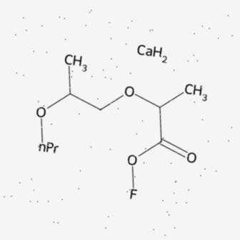 CCCOC(C)COC(C)C(=O)OF.[CaH2]